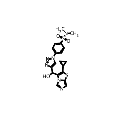 CN(C)S(=O)(=O)c1ccc(-n2cc(C(O)c3c(C4CC4)sc4cncn34)nn2)cc1